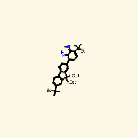 CCCCCCCCC1(CCCCCCCC)c2cc(C3=CC=C(C(C)(C)CC)C(=N/C)/C3=N\C)ccc2-c2ccc(C(C)(C)CC)cc21